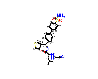 CC(C)C[C@H](NCC#N)C(=O)N[C@@H](c1ccc(-c2ccc(S(N)(=O)=O)cc2)cc1)c1ccsc1